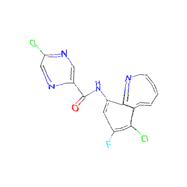 O=C(Nc1cc(F)c(Cl)c2cccnc12)c1cnc(Cl)cn1